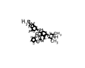 C[C@@H]1CN(c2ccc(C(=O)Nc3cc(F)c4nn(C)cc4c3)c3nc(OC4CCCC4O)ncc23)C[C@H](C)N1